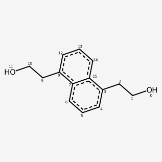 OCCc1cccc2c(CCO)cccc12